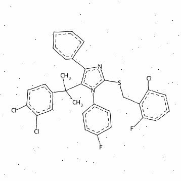 CC(C)(c1ccc(Cl)c(Cl)c1)c1c(-c2ccccc2)nc(SCc2c(F)cccc2Cl)n1-c1ccc(F)cc1